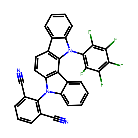 N#Cc1cccc(C#N)c1-n1c2ccccc2c2c1ccc1c3ccccc3n(-c3c(F)c(F)c(F)c(F)c3F)c12